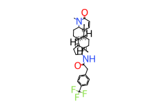 CN1C(=O)C=C[C@@]2(C)C1CC[C@@H]1[C@H]2CC[C@]2(C)C(NC(=O)Cc3ccc(C(F)(F)F)cc3)CC[C@@H]12